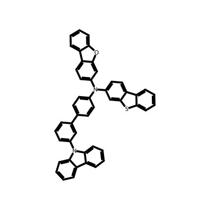 c1cc(-c2ccc(N(c3ccc4c(c3)oc3ccccc34)c3ccc4c(c3)sc3ccccc34)cc2)cc(-n2c3ccccc3c3ccccc32)c1